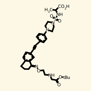 CC(NS(=O)(=O)N1CCN(c2ccc(C#Cc3ccc4c(c3)C(=NOCCNCC(=O)OC(C)(C)C)CCC4)cc2)CC1)C(=O)O